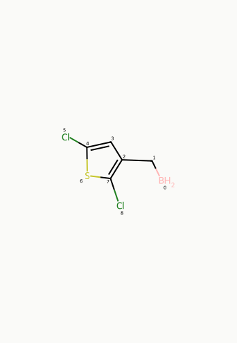 BCc1cc(Cl)sc1Cl